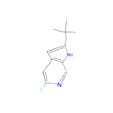 CC(C)(C)c1cc2cc(F)ncc2[nH]1